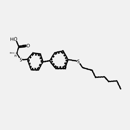 CCCCCCCSc1ccc(-c2ccc(S[C@H](C)C(=O)O)cc2)cc1